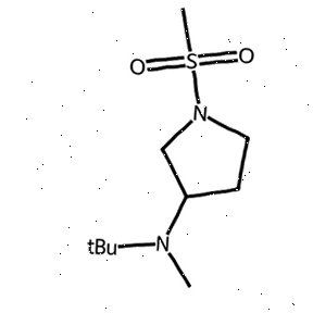 CN(C1CCN(S(C)(=O)=O)C1)C(C)(C)C